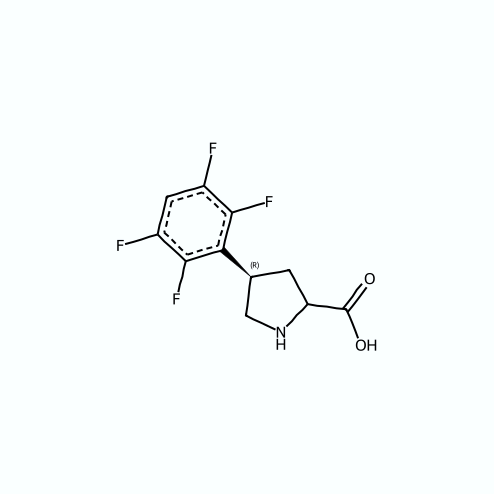 O=C(O)C1C[C@H](c2c(F)c(F)cc(F)c2F)CN1